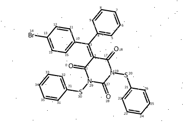 O=C1C(=C(c2ccccc2)c2ccc(Br)cc2)C(=O)N(Sc2ccccc2)C(=O)N1Sc1ccccc1